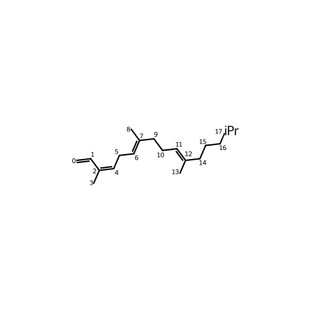 C=CC(C)=CCC=C(C)CCC=C(C)CCCC(C)C